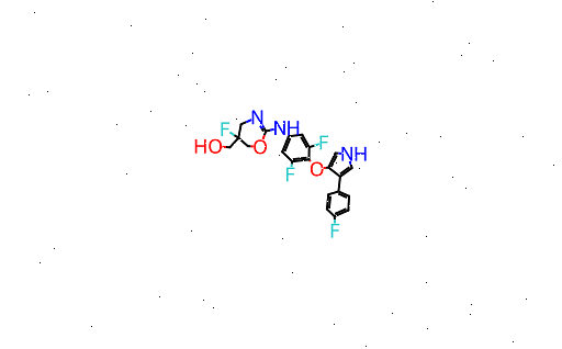 OCC1(F)CN=C(Nc2cc(F)c(Oc3c[nH]cc3-c3ccc(F)cc3)c(F)c2)OC1